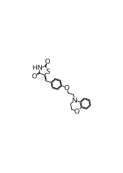 O=C1NC(=O)/C(=C/c2ccc(OCCN3CCOc4ccccc43)cc2)S1